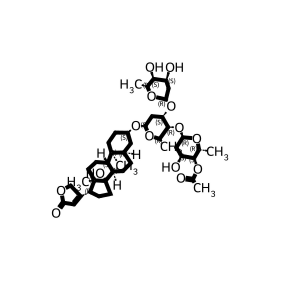 CC(=O)O[C@H]1[C@@H](O)C[C@@H](O[C@H]2[C@@H](O[C@@H]3C[C@H](O)[C@H](O)[C@@H](C)O3)C[C@@H](O[C@H]3CC[C@@]4(C)[C@H](CC[C@@H]5[C@@H]4CC[C@]4(C)[C@@H](C6=CC(=O)OC6)CCC54O)C3)O[C@@H]2C)O[C@@H]1C